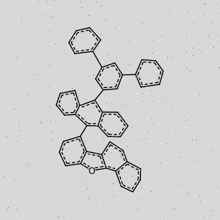 c1ccc(-c2cc(-c3ccccc3)cc(-c3c4ccccc4c(-c4cccc5oc6c7ccccc7ccc6c45)c4ccccc34)c2)cc1